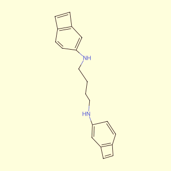 C1=Cc2cc(NCCCCNc3ccc4c(c3)C=C4)ccc21